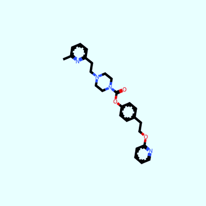 Cc1cccc(CCN2CCN(C(=O)Oc3ccc(CCOc4ccccn4)cc3)CC2)n1